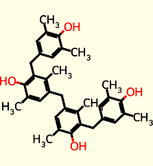 Cc1cc(Cc2c(C)c(Cc3cc(C)c(O)c(Cc4cc(C)c(O)c(C)c4)c3C)cc(C)c2O)cc(C)c1O